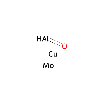 [Cu].[Mo].[O]=[AlH]